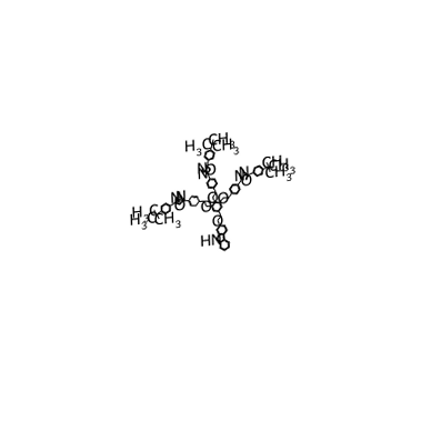 CC(C)(C)c1ccc(-c2nnc(C3=CCC(COc4cc(COc5ccc6c(c5)[nH]c5ccccc56)cc(OCc5ccc(-c6nnc(-c7ccc(C(C)(C)C)cc7)o6)cc5)c4OCc4ccc(-c5nnc(-c6ccc(C(C)(C)C)cc6)o5)cc4)C=C3)o2)cc1